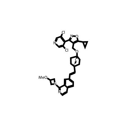 COC1CN(c2nccc3ccc(/C=C/C45CCC(OCc6c(-c7c(Cl)cncc7Cl)noc6C6CC6)(CC4)CC5)cc23)C1